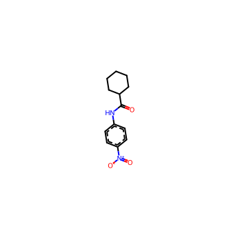 O=C(Nc1ccc([N+](=O)[O-])cc1)C1CCCCC1